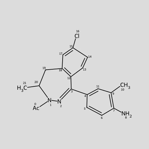 CC(=O)N1N=C(c2ccc(N)c(C)c2)c2ccc(Cl)cc2CC1C